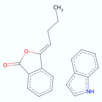 CCCC=C1OC(=O)c2ccccc21.c1ccc2[nH]ccc2c1